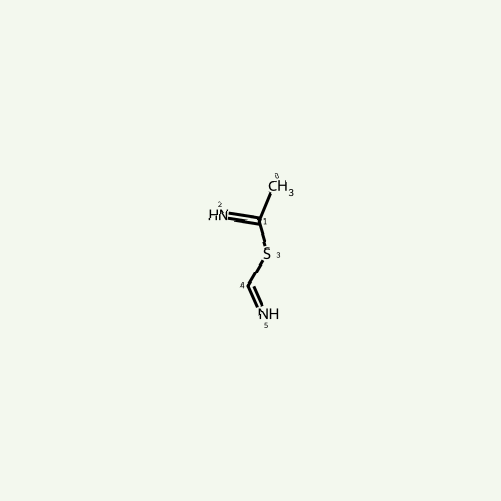 CC(=N)SC=N